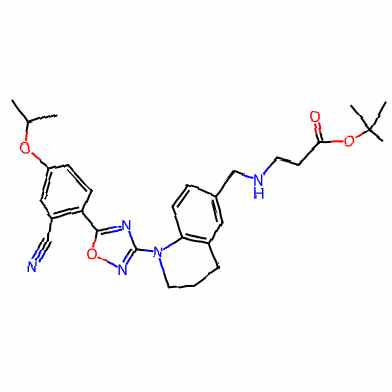 CC(C)Oc1ccc(-c2nc(N3CCCc4cc(CNCCC(=O)OC(C)(C)C)ccc43)no2)c(C#N)c1